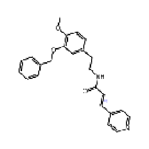 COc1ccc(CCNC(=O)/C=C/c2ccncc2)cc1OCc1ccccc1